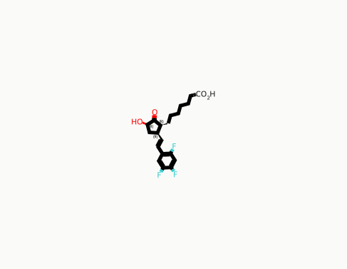 O=C(O)CCCCCC[C@H]1C(=O)[C@H](O)C[C@@H]1C=Cc1cc(F)c(F)cc1F